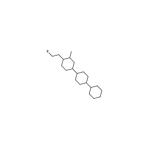 CC1CC(C2CCC(C3CCCCC3)CC2)CCC1CCF